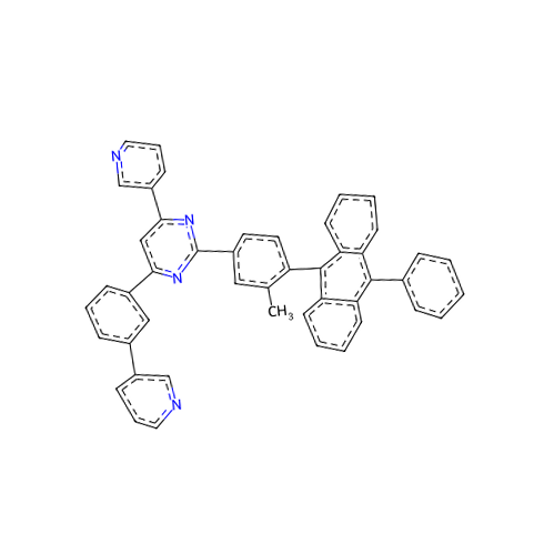 Cc1cc(-c2nc(-c3cccnc3)cc(-c3cccc(-c4cccnc4)c3)n2)ccc1-c1c2ccccc2c(-c2ccccc2)c2ccccc12